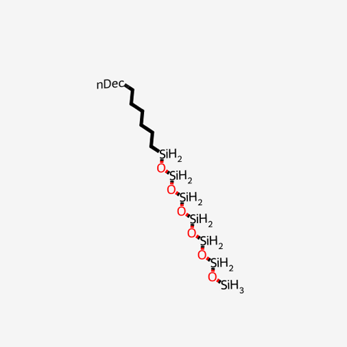 CCCCCCCCCCCCCCCC[SiH2]O[SiH2]O[SiH2]O[SiH2]O[SiH2]O[SiH2]O[SiH3]